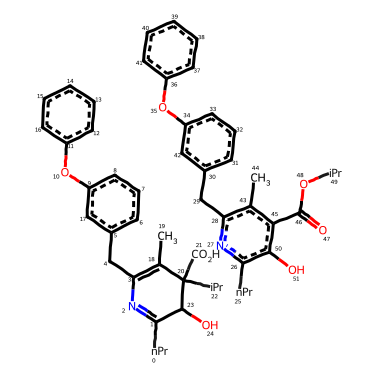 CCCC1=NC(Cc2cccc(Oc3ccccc3)c2)=C(C)C(C(=O)O)(C(C)C)C1O.CCCc1nc(Cc2cccc(Oc3ccccc3)c2)c(C)c(C(=O)OC(C)C)c1O